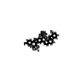 CNC(=O)c1c2cc(-c3ccc4c(n3)-c3cc5c(F)cccc5n3CC4)c(N(C)S(C)(=O)=O)cc2nn1-c1ccc(F)cc1